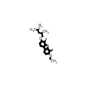 CCOc1ccc2c(sc3c(F)c(OCC(C)CC(C)C)ccc32)c1F